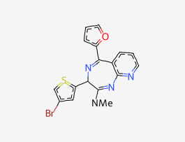 CNC1=Nc2ncccc2C(c2ccco2)=NC1c1cc(Br)cs1